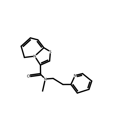 CN(CCc1ccccn1)C(=O)C1=CSC2=CC=CCN21